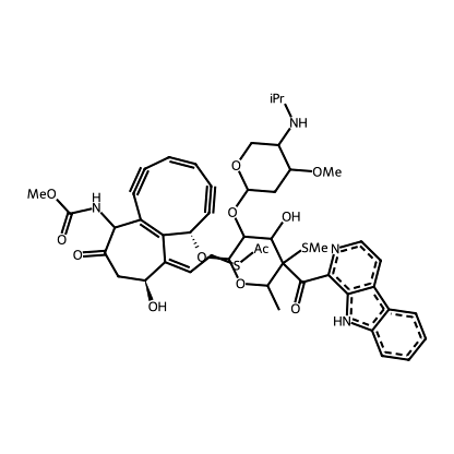 COC(=O)NC1C(=O)C[C@H](O)/C(=C/CSC(C)=O)C2=C1C#C/C=C\C#C[C@@H]2OC1OC(C)C(SC)(C(=O)c2nccc3c2[nH]c2ccccc23)C(O)C1OC1CC(OC)C(NC(C)C)CO1